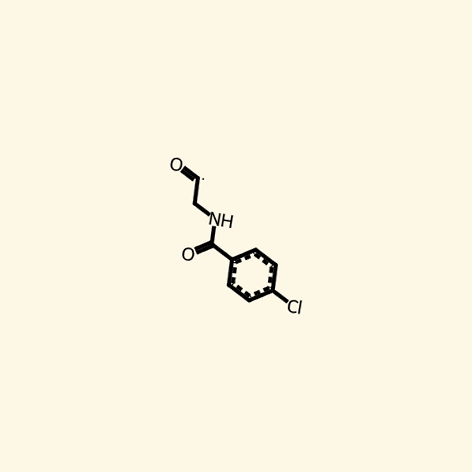 O=[C]CNC(=O)c1ccc(Cl)cc1